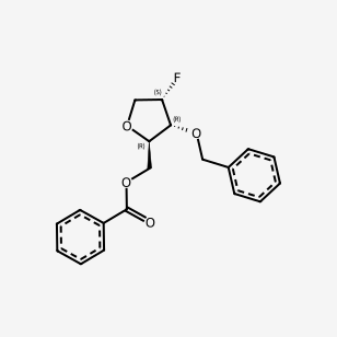 O=C(OC[C@H]1OC[C@H](F)[C@@H]1OCc1ccccc1)c1ccccc1